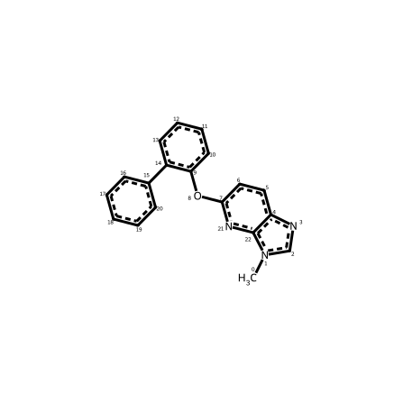 Cn1cnc2ccc(Oc3ccccc3-c3ccccc3)nc21